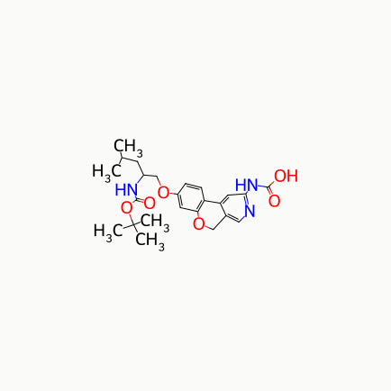 CC(C)CC(COc1ccc2c(c1)OCc1cnc(NC(=O)O)cc1-2)NC(=O)OC(C)(C)C